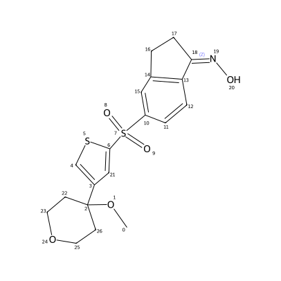 COC1(c2csc(S(=O)(=O)c3ccc4c(c3)CC/C4=N/O)c2)CCOCC1